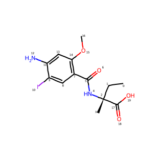 CC[C@@](C)(NC(=O)c1cc(I)c(N)cc1OC)C(=O)O